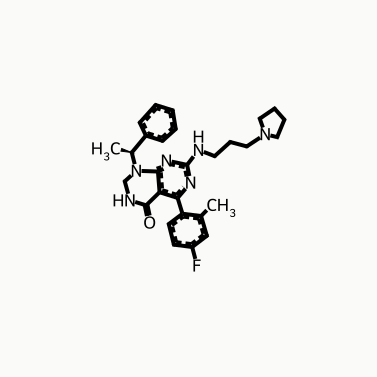 Cc1cc(F)ccc1-c1nc(NCCCN2CCCC2)nc2c1C(=O)NCN2[C@@H](C)c1ccccc1